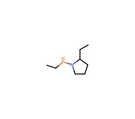 CCPN1CCCC1CC